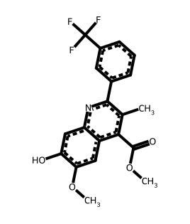 COC(=O)c1c(C)c(-c2cccc(C(F)(F)F)c2)nc2cc(O)c(OC)cc12